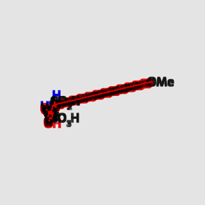 COCCOCCOCCOCCOCCOCCOCCOCCOCCOCCOCCOCCOCCOCCOCCOCCOCCOCCOCCOCCOCCOCCOCCOCCNC(=O)C(CCC(=O)O)NC(=O)COc1cc(SOOO)c2ccc3c(SOOO)cc(S(=O)(=O)O)c4ccc1c2c34